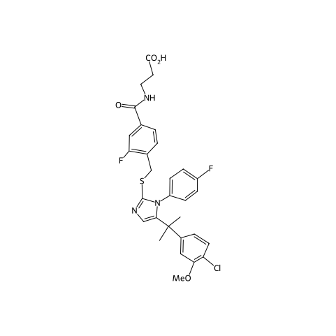 COc1cc(C(C)(C)c2cnc(SCc3ccc(C(=O)NCCC(=O)O)cc3F)n2-c2ccc(F)cc2)ccc1Cl